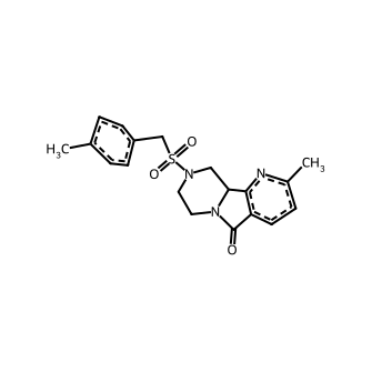 Cc1ccc(CS(=O)(=O)N2CCN3C(=O)c4ccc(C)nc4C3C2)cc1